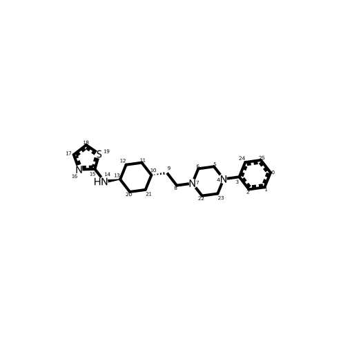 c1ccc(N2CCN(CC[C@H]3CC[C@H](Nc4nccs4)CC3)CC2)cc1